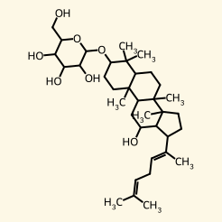 CC(C)=CCC=C(C)C1CCC2(C)C1C(O)CC1C3(C)CCC(OC4OC(CO)C(O)C(O)C4O)C(C)(C)C3CCC12C